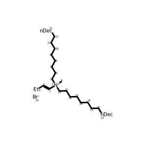 CCC=C[N+](C)(CCCCCCCCCCCCCCCCCC)CCCCCCCCCCCCCCCCCC.[Br-]